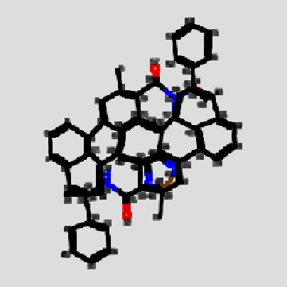 Cc1cc(-c2cccc3cccc(-c4ccc(-c5cccc6cccc(-c7cc(C)c(C(=O)N[C@H](C)c8ccccc8)c(C)c7)c56)c5nsnc45)c23)cc(C)c1C(=O)N[C@H](C)c1ccccc1